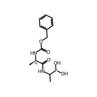 CC(NC(=O)[C@@H](C)NC(=O)OCc1ccccc1)P(O)O